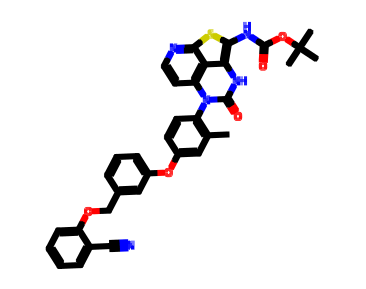 Cc1cc(Oc2cccc(COc3ccccc3C#N)c2)ccc1N1C(=O)Nc2c(NC(=O)OC(C)(C)C)sc3nccc1c23